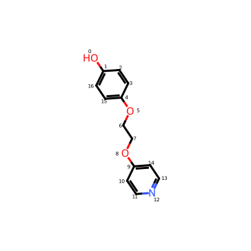 Oc1ccc(OCCOc2ccncc2)cc1